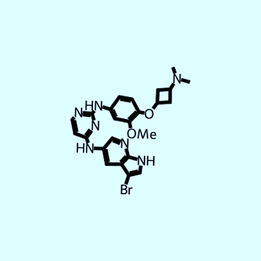 COc1cc(Nc2nccc(Nc3cnc4[nH]cc(Br)c4c3)n2)ccc1OC1CC(N(C)C)C1